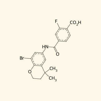 CC1(C)CCOc2c(Br)cc(NC(=O)c3ccc(C(=O)O)c(F)c3)cc21